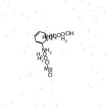 Cl.Nc1ccccc1.O.O.O.O.O.O.[Cl][Mg][Cl]